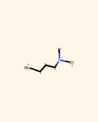 CCN(C)CCCC(C)(C)C